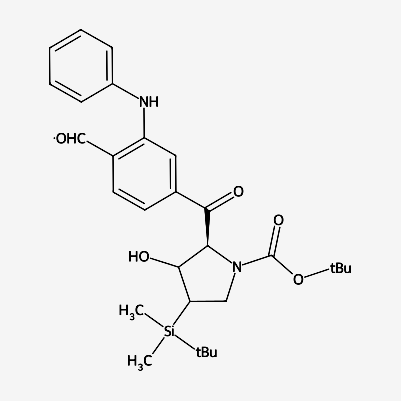 CC(C)(C)OC(=O)N1CC([Si](C)(C)C(C)(C)C)C(O)[C@H]1C(=O)c1ccc([C]=O)c(Nc2ccccc2)c1